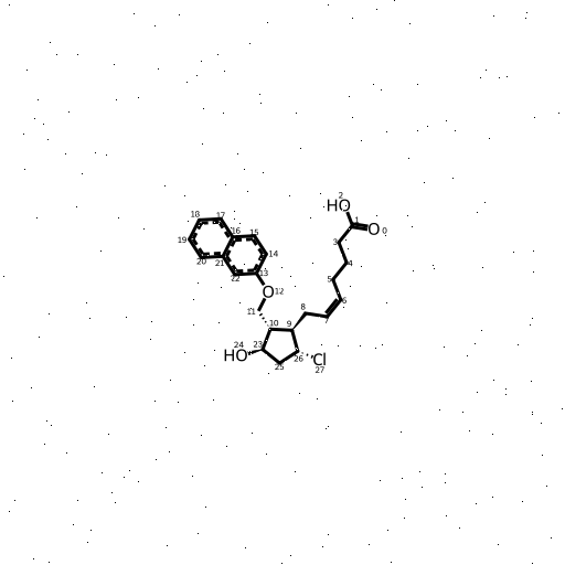 O=C(O)CCC/C=C\C[C@@H]1[C@@H](COc2ccc3ccccc3c2)[C@H](O)C[C@H]1Cl